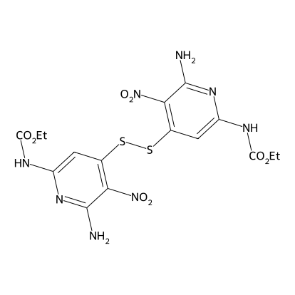 CCOC(=O)Nc1cc(SSc2cc(NC(=O)OCC)nc(N)c2[N+](=O)[O-])c([N+](=O)[O-])c(N)n1